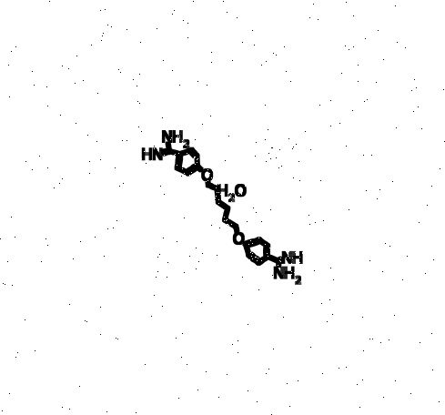 N=C(N)c1ccc(OCCCCCCOc2ccc(C(=N)N)cc2)cc1.O